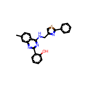 Cc1ccc2c(NCc3csc(-c4ccccc4)n3)nc(-c3ccccc3O)nc2c1